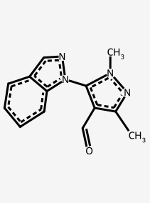 Cc1nn(C)c(-n2ncc3ccccc32)c1C=O